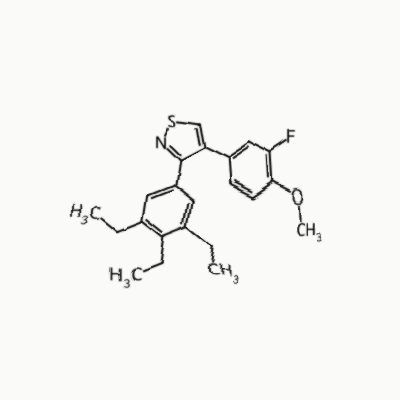 CCc1cc(-c2nscc2-c2ccc(OC)c(F)c2)cc(CC)c1CC